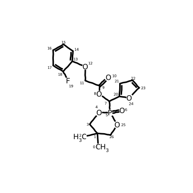 CC1(C)COP(=O)(C(OC(=O)COc2ccccc2F)c2ccco2)OC1